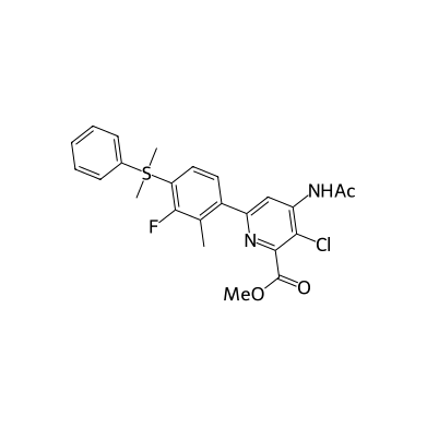 COC(=O)c1nc(-c2ccc(S(C)(C)c3ccccc3)c(F)c2C)cc(NC(C)=O)c1Cl